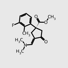 COC(=O)[C@]1(c2cccc(F)c2C)CC(=O)C(=CN(C)C)C1